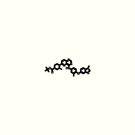 Cc1cc(Nc2ncnc3ccc(N4CCN(C(=O)OC(C)(C)C)C[C@@H]4C)nc23)ccc1Oc1ccc2c(c1)ncn2C